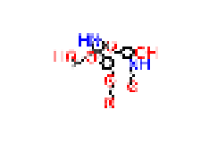 COCCCNc1cc(CO[C@H]2CNC[C@@H](OCC[C@H](C)O)[C@@H]2c2ccc(COCCCOC)cc2)ccc1O